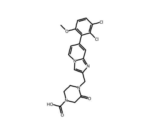 COc1ccc(Cl)c(Cl)c1-c1ccn2cc(CN3CCN(C(=O)O)CC3=O)nc2c1